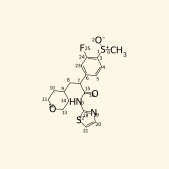 C[S+]([O-])c1ccc(C(CC2CCOCC2)C(=O)Nc2nccs2)cc1F